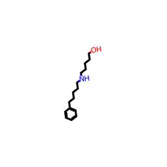 OCCCCCNCCCCCc1ccccc1